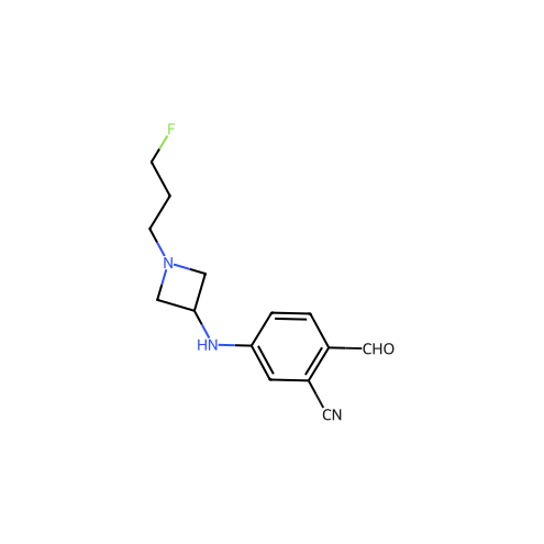 N#Cc1cc(NC2CN(CCCF)C2)ccc1C=O